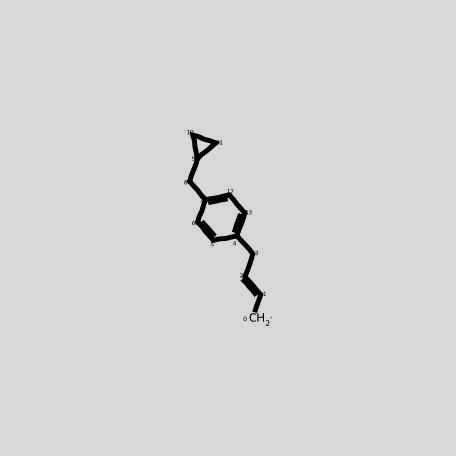 [CH2]C=CCc1ccc(CC2CC2)cc1